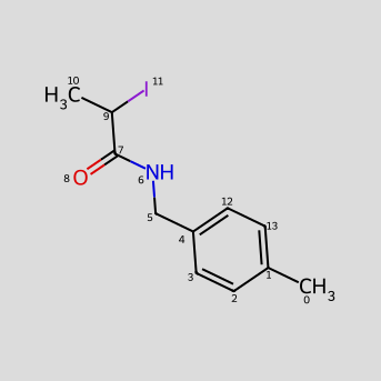 Cc1ccc(CNC(=O)C(C)I)cc1